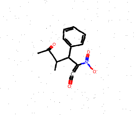 CC(=O)C(C)C(C(=C=O)[N+](=O)[O-])c1ccccc1